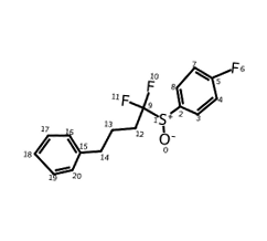 [O-][S+](c1ccc(F)cc1)C(F)(F)CCCc1ccccc1